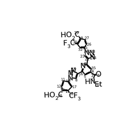 CCNC(=O)c1cc(-c2cn(-c3ccc(C(=O)O)c(C(F)(F)F)c3)nn2)nc(-c2cn(-c3ccc(C(=O)O)c(C(F)(F)F)c3)nn2)c1